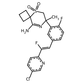 CC1(c2cc(C=C(F)c3ccc(Cl)cn3)ccc2F)CS(=O)(=O)C2(CCC2)C(N)=N1